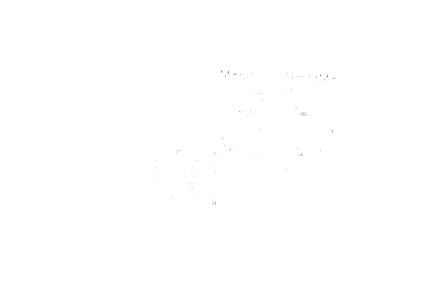 CO/N=C(/C(=O)OC)c1cccc(C)c1CO/N=C1\CCc2ccc(C)cc21